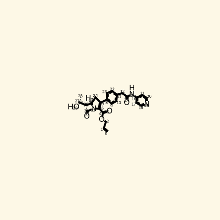 C=CCOC(=O)C1=C(c2ccc(CC(=O)Nc3ccncc3)cc2)C[C@@H]2[C@@H]([C@@H](C)O)C(=O)N12